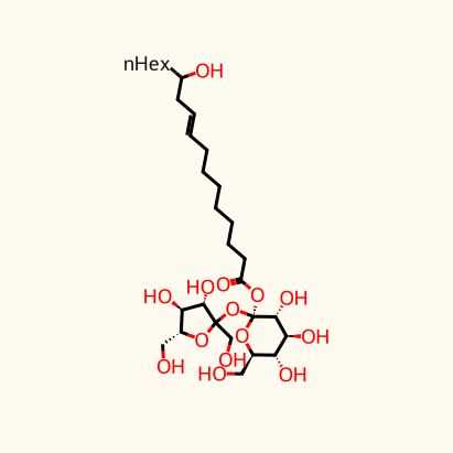 CCCCCCC(O)C/C=C/CCCCCCCC(=O)O[C@@]1(OC2(CO)O[C@H](CO)[C@@H](O)[C@@H]2O)O[C@H](CO)[C@@H](O)[C@H](O)[C@H]1O